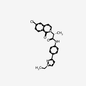 CCn1ccc(-c2ccc(NC(=O)[C@@H](C)n3ccc4cc(Cl)ccc4c3=O)cc2)n1